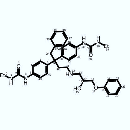 CCNC(=O)Nc1ccc(C(CCNC[C@H](O)COc2ccccc2)(Cc2ccccc2)c2ccc(NC(=O)NCC)cc2)cc1